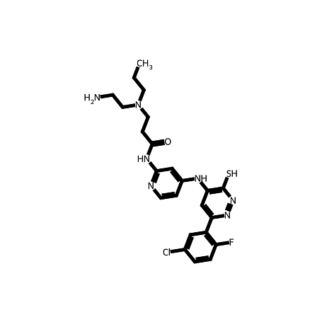 CCCN(CCN)CCC(=O)Nc1cc(Nc2cc(-c3cc(Cl)ccc3F)nnc2S)ccn1